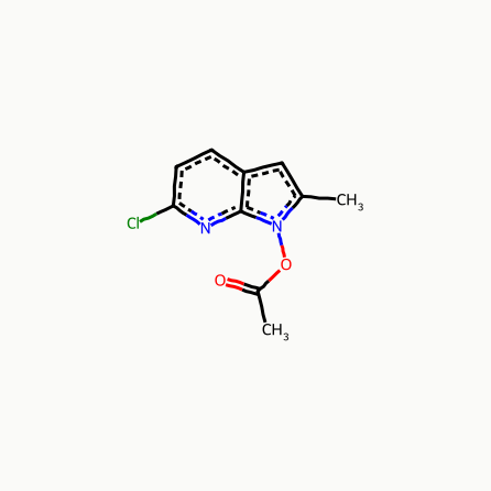 CC(=O)On1c(C)cc2ccc(Cl)nc21